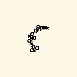 CO[C@H](C)C(=O)N1CCC(c2ccc3ncn(CC(=O)N(C)Cc4ccc(C#N)c(Cl)c4)c(=O)c3c2)CC1